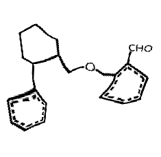 O=Cc1ccccc1OCC1CCCCC1c1ccccc1